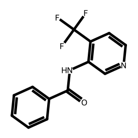 O=C(Nc1cnccc1C(F)(F)F)c1ccccc1